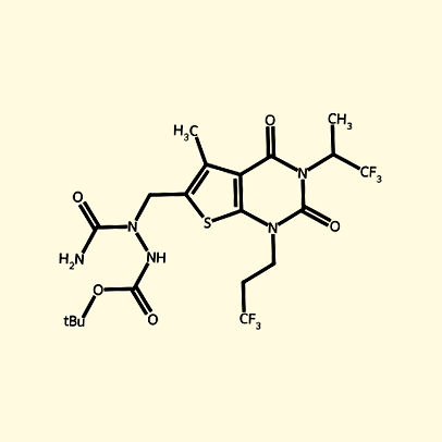 Cc1c(CN(NC(=O)OC(C)(C)C)C(N)=O)sc2c1c(=O)n(C(C)C(F)(F)F)c(=O)n2CCC(F)(F)F